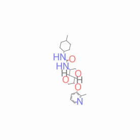 Cc1ncccc1O[C@H]1CO[C@H]2[C@@H]1OC[C@@H]2NC(=O)NC1CCC(C)CC1